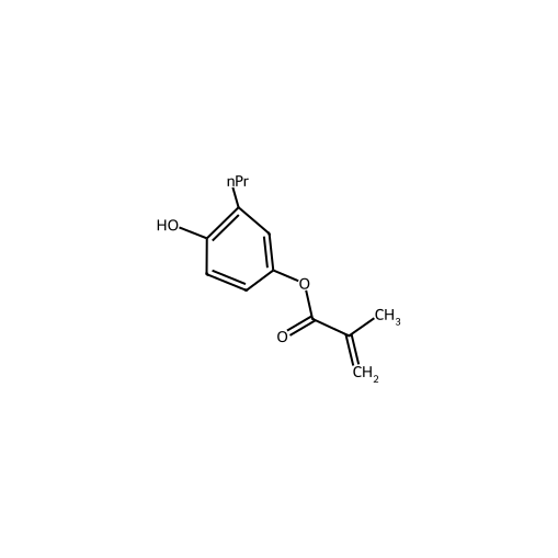 C=C(C)C(=O)Oc1ccc(O)c(CCC)c1